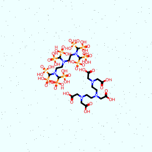 O=C(O)CN(CCN(CC(=O)O)CC(=O)O)CCN(CC(=O)O)CC(=O)O.O=P(O)(O)C(N(CCN(C(P(=O)(O)O)P(=O)(O)O)C(P(=O)(O)O)P(=O)(O)O)CCN(C(P(=O)(O)O)P(=O)(O)O)C(P(=O)(O)O)P(=O)(O)O)P(=O)(O)O